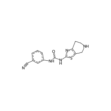 N#Cc1cccc(NC(=O)Nc2nc3c(s2)CNCC3)c1